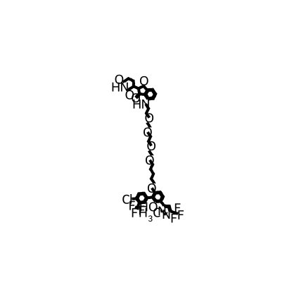 Cn1nc(C(F)(F)F)cc1-c1ccc(OCCCCCOCCOCCOCCOCCNc2cccc3c2C(=O)C(C2CCC(=O)NC2=O)C3=O)c(-c2ccc(Cl)c(C(F)(F)F)c2)c1O